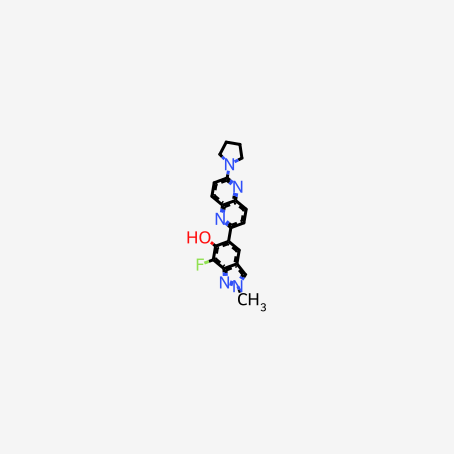 Cn1cc2cc(-c3ccc4nc(N5CCCC5)ccc4n3)c(O)c(F)c2n1